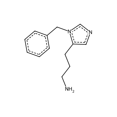 NCCCc1cncn1Cc1ccccc1